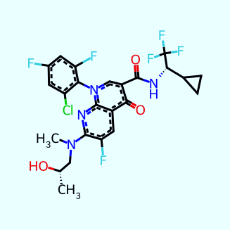 C[C@H](O)CN(C)c1nc2c(cc1F)c(=O)c(C(=O)N[C@@H](C1CC1)C(F)(F)F)cn2-c1c(F)cc(F)cc1Cl